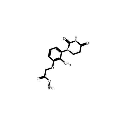 Cc1c(OCC(=O)OC(C)(C)C)cccc1N1CCC(=O)NC1=O